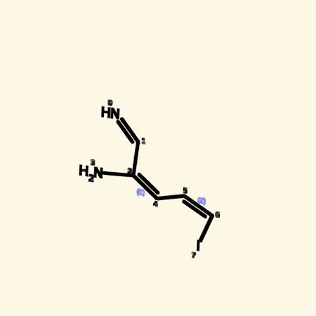 N=C/C(N)=C\C=C/I